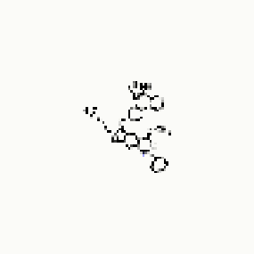 CCCCc1nc2cc(/C=C/c3ccccc3)c(C(=O)OC)cc2n1Cc1ccc(-c2ccccc2-c2nnn[nH]2)cc1